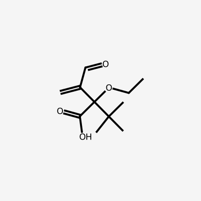 C=C(C=O)C(OCC)(C(=O)O)C(C)(C)C